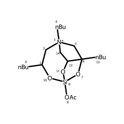 CCCCC1C[N+]2(CCCC)CCO[Si](OC(C)=O)(O1)OC(CCCC)C2